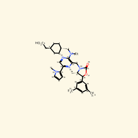 CCN(C[C@H]1CC[C@H](CC(=O)O)CC1)c1ncc(-c2cccn2C)nc1CN1C(=O)OC(c2cc(C(F)(F)F)cc(C(F)(F)F)c2)[C@@H]1C